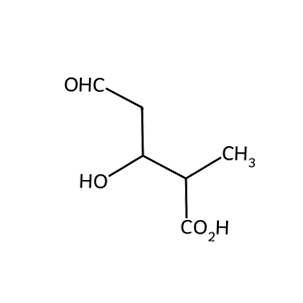 CC(C(=O)O)C(O)CC=O